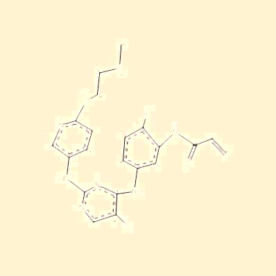 C=CC(=O)Nc1cc(Nc2nc(Nc3ccc(OCCOC)nc3)ncc2F)ccc1F